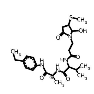 CCc1ccc(NC(=O)[C@H](C)NC(=O)C(NC(=O)CCN2C(=O)CC(SC)C2O)C(C)C)cc1